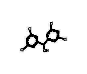 OC(c1cc(Cl)cc(Cl)c1)c1cc(Cl)cc(Cl)c1